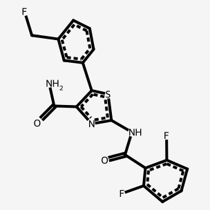 NC(=O)c1nc(NC(=O)c2c(F)cccc2F)sc1-c1cccc(CF)c1